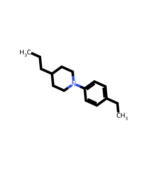 CCCC1CCN(c2ccc(CC)cc2)CC1